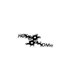 COCCCOc1ccc(C)cc1-c1cc(C)ccc1OCCCO